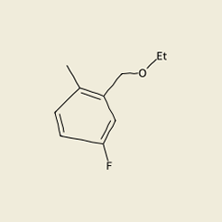 [CH2]COCc1cc(F)ccc1C